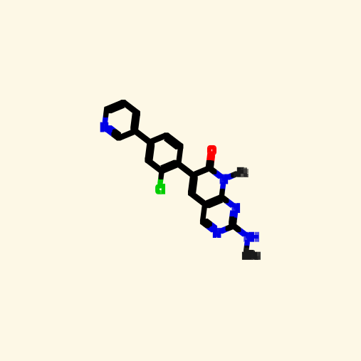 CCCCNc1ncc2cc(-c3ccc(-c4cccnc4)cc3Cl)c(=O)n(CC)c2n1